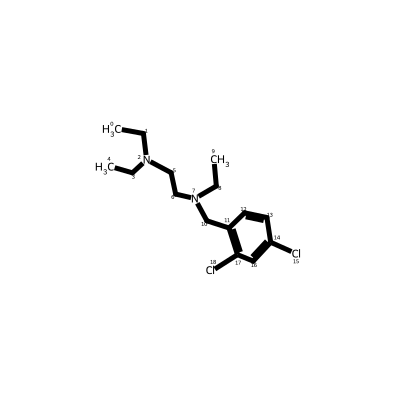 CCN(CC)CCN(CC)Cc1ccc(Cl)cc1Cl